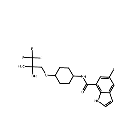 CC(O)(COC1CCC(NC(=O)c2cc(I)cc3cc[nH]c23)CC1)C(F)(F)F